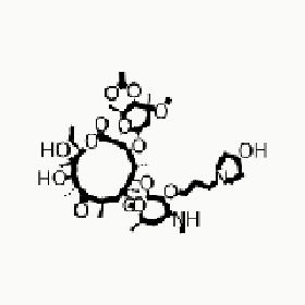 CC[C@H]1OC(=O)[C@H](C)[C@@H](O[C@H]2C[C@@](C)(OC)[C@@H](OC(C)=O)[C@H](C)O2)[C@H](C)[C@@H](O[C@@H]2O[C@H](C)C[C@H](NC)[C@H]2OCCCN2CCC(O)CC2)[C@@](C)(OC)C[C@@H](C)C(=O)[C@H](C)[C@@H](O)[C@]1(C)O